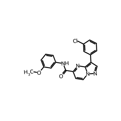 COc1cccc(NC(=O)c2ccn3ncc(-c4cccc(Cl)c4)c3n2)c1